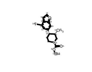 C[C@@H]1CN(C(=O)OC(C)(C)C)CC[C@@H]1c1cc(F)c2ccoc2c1